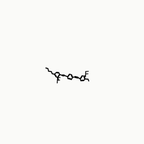 CCCCCc1ccc(C#Cc2ccc(C#Cc3ccc(CC)c(F)c3)cc2)c(F)c1